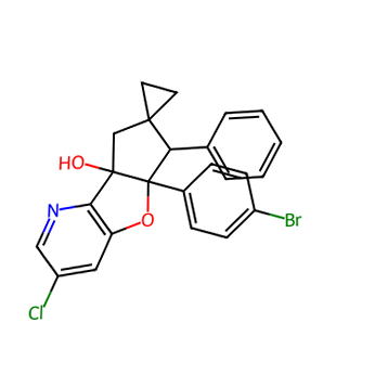 OC12CC3(CC3)C(c3ccccc3)C1(c1ccc(Br)cc1)Oc1cc(Cl)cnc12